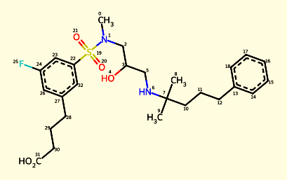 CN(CC(O)CNC(C)(C)CCCc1ccccc1)S(=O)(=O)c1cc(F)cc(CCCC(=O)O)c1